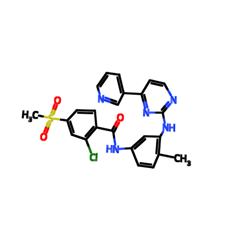 Cc1ccc(NC(=O)c2ccc(S(C)(=O)=O)cc2Cl)cc1Nc1nccc(-c2cccnc2)n1